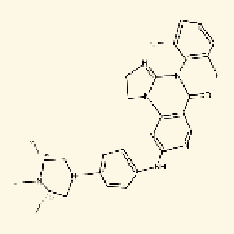 C[C@@H]1CN(c2ccc(Nc3ncc4c(n3)N3CCN=C3N(c3c(F)cccc3Cl)C4=O)cc2)C[C@H](C)N1C